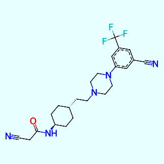 N#CCC(=O)N[C@H]1CC[C@H](CCN2CCN(c3cc(C#N)cc(C(F)(F)F)c3)CC2)CC1